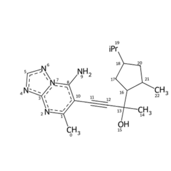 Cc1nc2ncnn2c(N)c1C#CC(C)(O)C1CC(C(C)C)CC1C